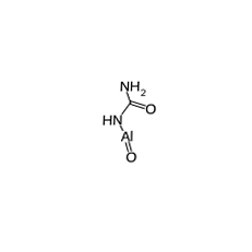 NC(=O)[NH][Al]=[O]